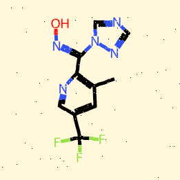 Cc1cc(C(F)(F)F)cnc1/C(=N/O)n1cncn1